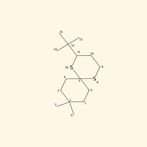 CC1(C)CCC2(CC1)SCCC(C(C)(C)C)S2